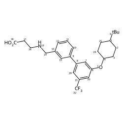 CC(C)(C)C1CCC(Oc2cc(-c3cccc(CNCCC(=O)O)c3)cc(C(F)(F)F)c2)CC1